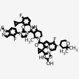 C[C@H]1c2c(nn(-c3ccc(F)c(C4CC4)c3)c2-n2ccn(-c3ccc4c(cnn4C)c3F)c2=O)CCN1C(=O)c1cc2c(F)c([C@@H]3CCOC(C)(C)C3)ccn2c1C1(C2=NOC(O)N2)CC1